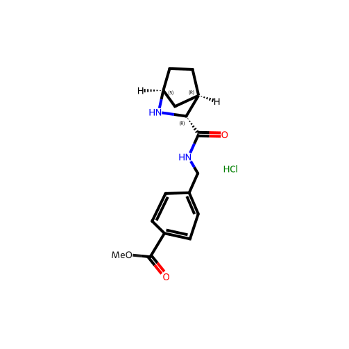 COC(=O)c1ccc(CNC(=O)[C@@H]2N[C@H]3CC[C@@H]2C3)cc1.Cl